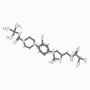 CC(C)(C)OC(=O)N1CCN(c2ccc(N3CC(CNC(=O)C(Cl)Cl)OC3=O)cc2F)CC1